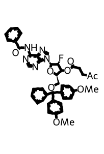 COc1ccc(C(OC[C@H]2O[C@@H](n3cnc4c(NC(=O)c5ccccc5)ncnc43)[C@@H](F)C2OC(=O)CCC(C)=O)(c2ccccc2)c2ccc(OC)cc2)cc1